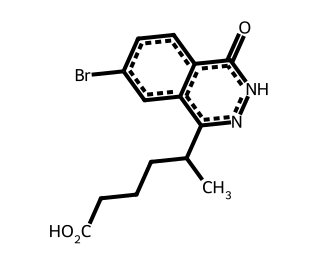 CC(CCCC(=O)O)c1n[nH]c(=O)c2ccc(Br)cc12